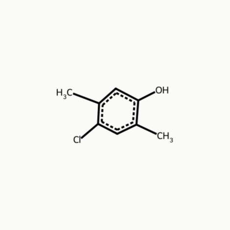 Cc1cc(Cl)c(C)cc1O